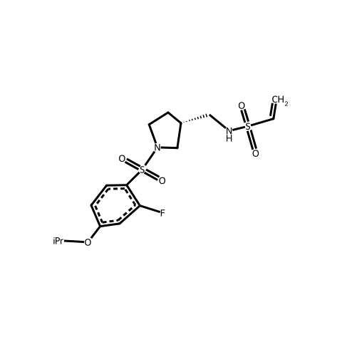 C=CS(=O)(=O)NC[C@H]1CCN(S(=O)(=O)c2ccc(OC(C)C)cc2F)C1